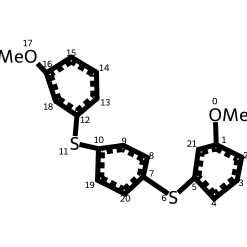 COc1cccc(Sc2ccc(Sc3cccc(OC)c3)cc2)c1